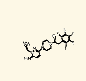 N=Cn1nc(N2CCN(C(=O)Cc3c(F)c(F)c(F)c(F)c3F)CC2)ccc1=N